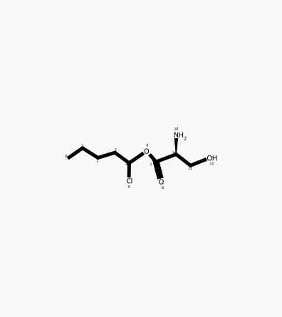 CCCCC(Cl)OC(=O)[C@@H](N)CO